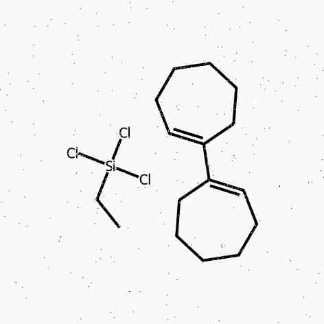 C1=C(C2=CCCCCC2)CCCCC1.CC[Si](Cl)(Cl)Cl